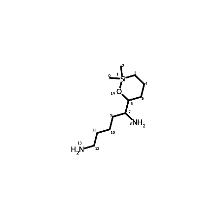 C[Si]1(C)CCCC(C(N)CCCCN)O1